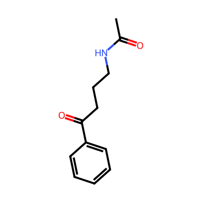 CC(=O)NCCCC(=O)c1ccccc1